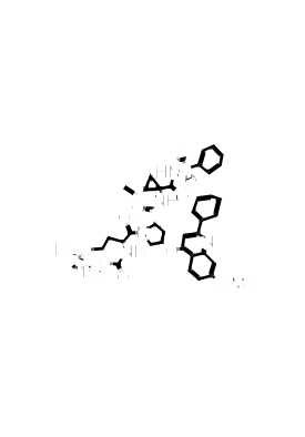 C=C[C@@H]1C[C@]1(NC(=O)[C@@H]1C[C@@H](Oc2cc(-c3ccccc3)nc3cc(OC)ccc23)CN1C(=O)C(CCO[Si](C)(C)C(C)(C)C)NC(=O)OC(C)(C)C)C(=O)NS(=O)(=O)c1ccccc1